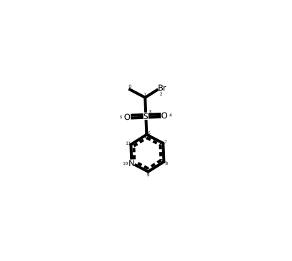 CC(Br)S(=O)(=O)c1cccnc1